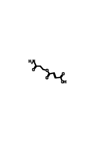 NC(=O)CCOC(=O)/C=C/C(=O)O